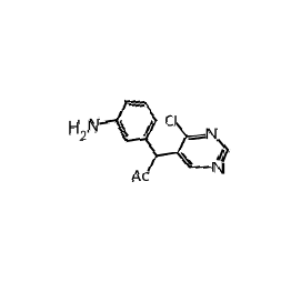 CC(=O)C(c1cccc(N)c1)c1cncnc1Cl